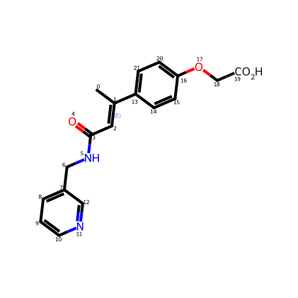 C/C(=C\C(=O)NCc1cccnc1)c1ccc(OCC(=O)O)cc1